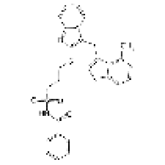 Cc1cccc2scc(Cc3c(SCCCS(=O)(=O)NC(=O)c4ccccc4)nc4ccccn34)c12